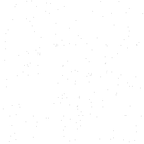 Cc1c(-c2ccccc2F)[nH]c2ccc(Cn3nccc3N)cc12